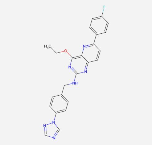 CCOc1nc(NCc2ccc(-n3cncn3)cc2)nc2ccc(-c3ccc(F)cc3)nc12